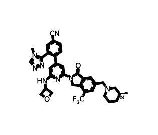 C[C@H]1CCCN(Cc2cc3c(c(C(F)(F)F)c2)CN(c2cc(-c4ccc(C#N)cc4-c4nncn4C)cc(NC4COC4)n2)C3=O)C1